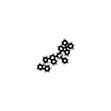 c1ccc(-c2nc(-c3cccc4c3-c3ccccc3C4(c3ccccc3)c3ccccc3)cc(-c3ccc(-c4cccc(-n5c6ccccc6c6ccccc65)c4)c4ccccc34)n2)cc1